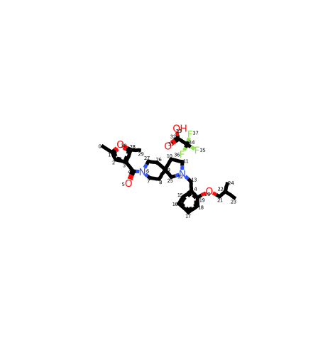 Cc1cc(C(=O)N2CCC3(CCN(Cc4ccccc4OCC(C)C)C3)CC2)c(C)o1.O=C(O)C(F)(F)F